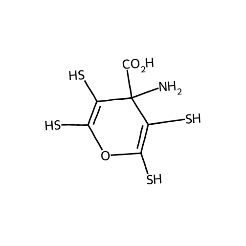 NC1(C(=O)O)C(S)=C(S)OC(S)=C1S